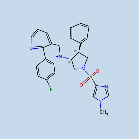 Cn1cnc(S(=O)(=O)N2C[C@H](NCc3cccnc3-c3ccc(F)cc3)[C@@H](c3ccccc3)C2)c1